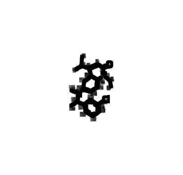 CCN1C(=O)C=C(C(C)C)C2CC(N(C)C(C)c3cccc(Cl)c3)=CC=C21